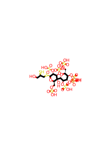 O=S(=O)(O)OC[C@H]1O[C@@H]([C@]2(O)[C@H](OS(=O)(=O)O)[C@@H](OS(=O)(=O)O)[C@H](SCC(S)CO)O[C@@H]2COS(=O)(=O)O)[C@H](OS(=O)(=O)O)[C@@H](OS(=O)(=O)O)[C@@H]1OS(=O)(=O)O